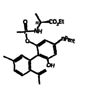 C=C(C)c1ccc(C)cc1-c1c(O)cc(CCCCC)cc1OP(C)(=O)N[C@@H](C)C(=O)OCC